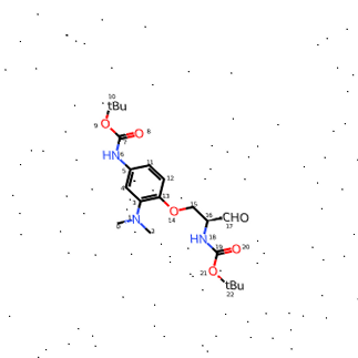 CN(C)c1cc(NC(=O)OC(C)(C)C)ccc1OC[C@@H](C=O)NC(=O)OC(C)(C)C